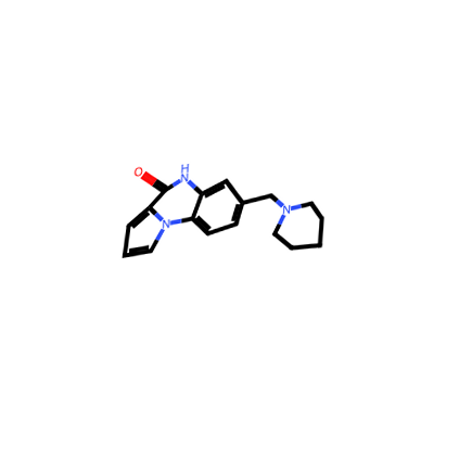 O=c1[nH]c2cc(CN3CCCCC3)ccc2n2cccc12